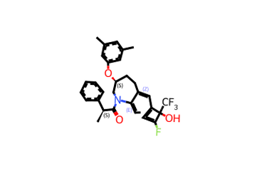 C/C=C1\C(=C/C2=C=C(F)C2(O)C(F)(F)F)CC[C@H](Oc2cc(C)cc(C)c2)CN1C(=O)[C@@H](C)c1ccccc1